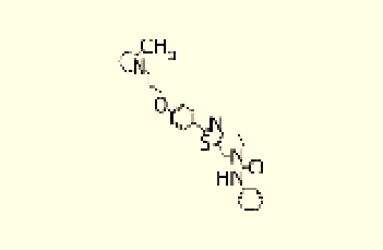 CC1CCCN1CCCOc1ccc(-c2nc3c(s2)CN(C(=O)Nc2ccccc2)CC3)cc1